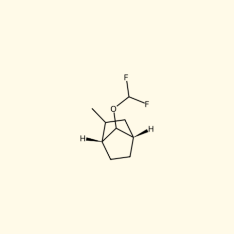 CC1C[C@@H]2CC[C@H]1C2OC(F)F